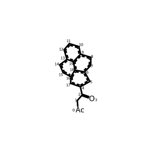 CC(=O)CC(=O)c1cc2ccc3cccc4ccc(c1)c2c34